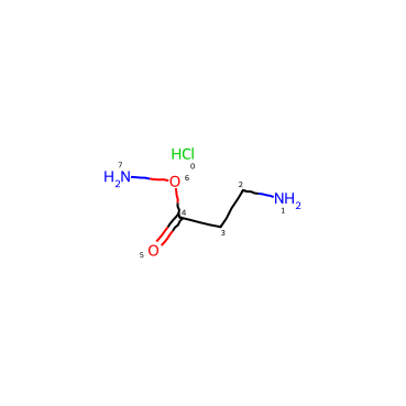 Cl.NCCC(=O)ON